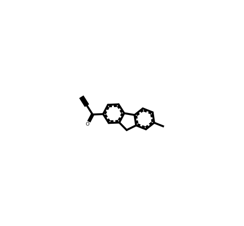 C#CC(=O)c1ccc2c(c1)Cc1cc(C)ccc1-2